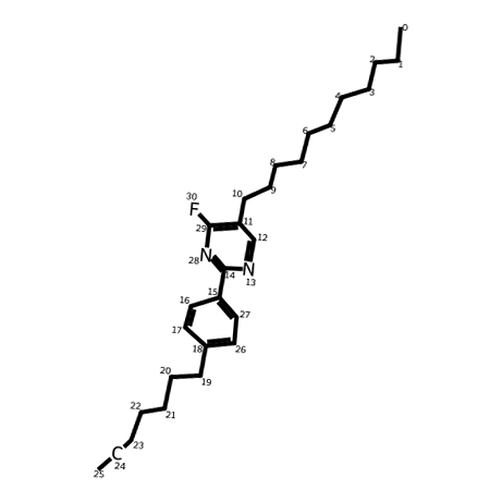 CCCCCCCCCCCc1cnc(-c2ccc(CCCCCCC)cc2)nc1F